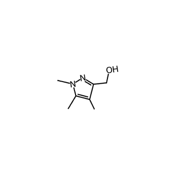 Cc1c(CO)nn(C)c1C